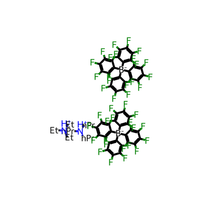 CCC[NH+](CCC)CCC.CC[NH+](CC)CC.Fc1c(F)c(F)c([B-](c2c(F)c(F)c(F)c(F)c2F)(c2c(F)c(F)c(F)c(F)c2F)c2c(F)c(F)c(F)c(F)c2F)c(F)c1F.Fc1c(F)c(F)c([B-](c2c(F)c(F)c(F)c(F)c2F)(c2c(F)c(F)c(F)c(F)c2F)c2c(F)c(F)c(F)c(F)c2F)c(F)c1F